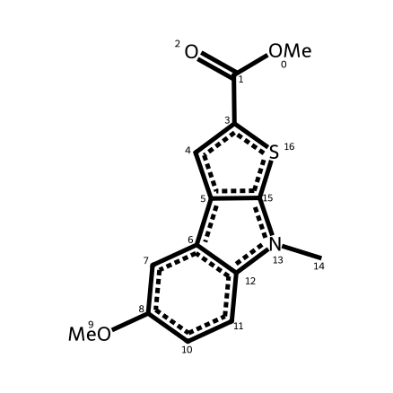 COC(=O)c1cc2c3cc(OC)ccc3n(C)c2s1